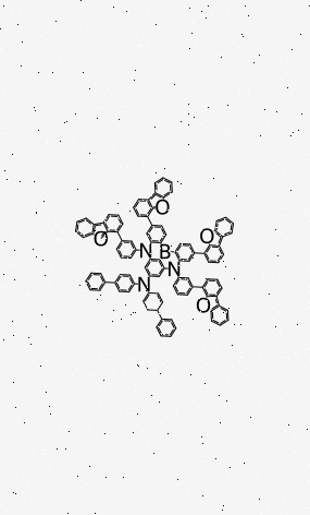 C1=CC(c2ccccc2)CC=C1N(c1ccc(-c2ccccc2)cc1)c1cc2c3c(c1)N(c1cccc(-c4cccc5c4oc4ccccc45)c1)c1cc(-c4cccc5c4oc4ccccc45)ccc1B3c1ccc(-c3cccc4c3oc3ccccc34)cc1N2c1cccc(-c2cccc3c2oc2ccccc23)c1